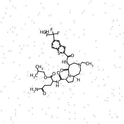 CCN1CC[C@H]2CC[C@@H](C(=O)NC(CCC(N)=O)C(=O)OCC(C)C)N2C(=O)[C@@H](NC(=O)c2cc3cc(C(F)(F)PO)ccc3s2)C1